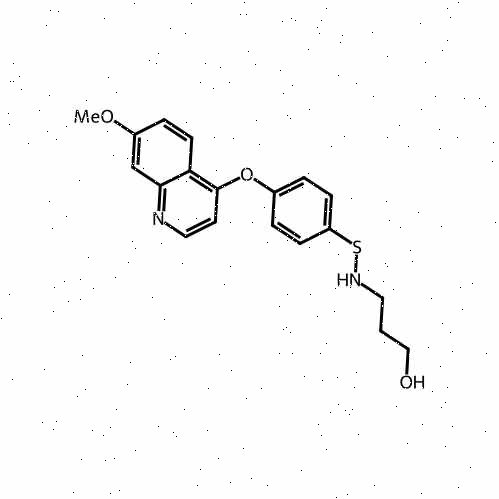 COc1ccc2c(Oc3ccc(SNCCCO)cc3)ccnc2c1